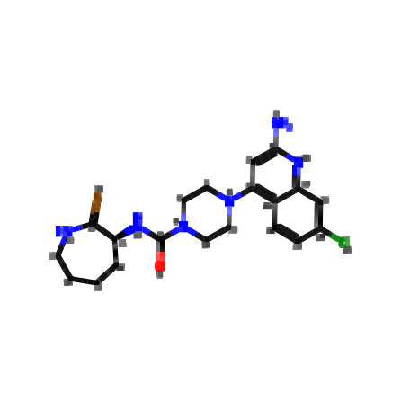 Nc1cc(N2CCN(C(=O)N[C@H]3CCCCNC3=S)CC2)c2ccc(Cl)cc2n1